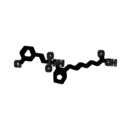 O=C(O)CCC/C=C/CC1C2CCC(C2)C1NS(=O)(=O)/C=C/c1cccc(Cl)c1